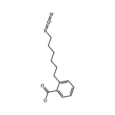 [N-]=[N+]=NCCCCCCc1ccccc1C([O])=O